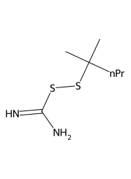 CCCC(C)(C)SSC(=N)N